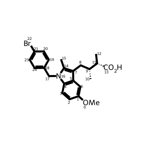 COc1ccc2c(c1)c(C[C@@H](C)[C@H](C)C(=O)O)c(C)n2Cc1ccc(Br)cc1